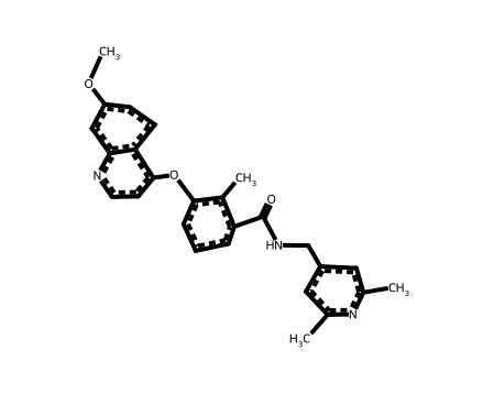 COc1ccc2c(Oc3cccc(C(=O)NCc4cc(C)nc(C)c4)c3C)ccnc2c1